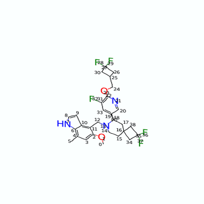 COc1cc(C)c2[nH]ccc2c1CN1CCC2(C[C@@H]1c1cnc(OCC3CC(F)(F)C3)c(F)c1)CC(F)(F)C2